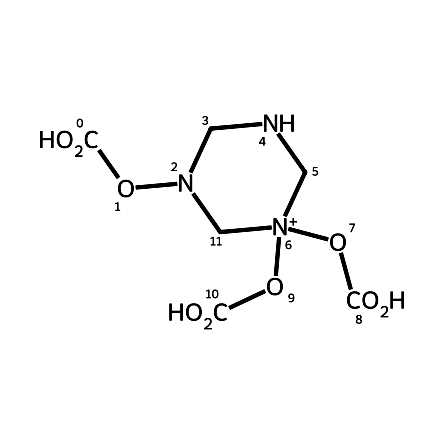 O=C(O)ON1CNC[N+](OC(=O)O)(OC(=O)O)C1